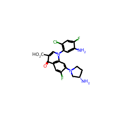 Nc1cc(-n2cc(C(=O)O)c(=O)c3cc(F)c(N4CC[C@H](N)C4)cc32)c(Cl)cc1F